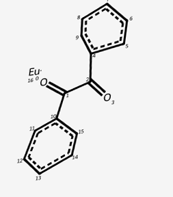 O=C(C(=O)c1ccccc1)c1ccccc1.[Eu]